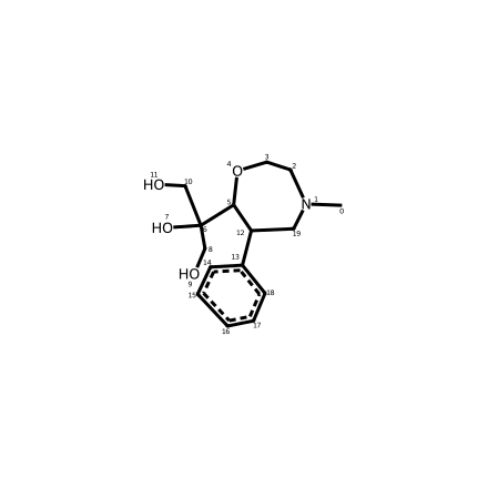 CN1CCOC(C(O)(CO)CO)C(c2ccccc2)C1